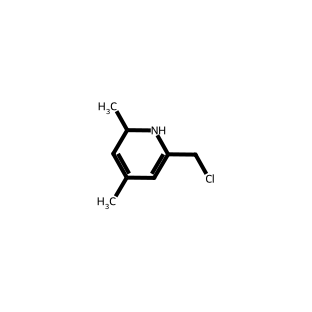 CC1=CC(C)NC(CCl)=C1